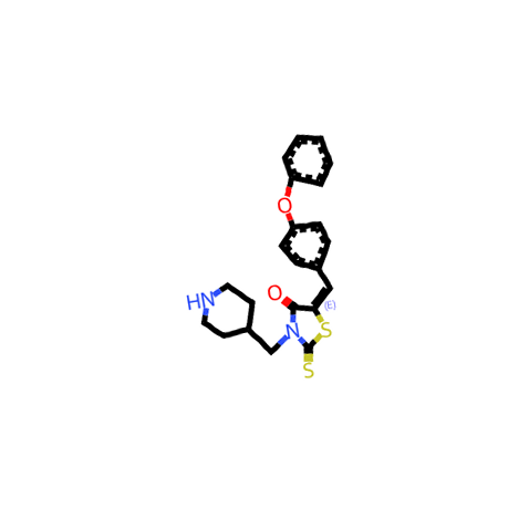 O=C1/C(=C\c2ccc(Oc3ccccc3)cc2)SC(=S)N1CC1CCNCC1